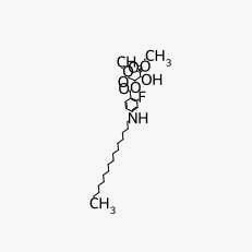 CCCCCCCCCCCCCCCCNc1ccc(C(=O)OC(C(=O)OCC)C(O)C(=O)OCC)c(F)c1